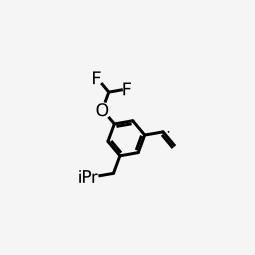 C=[C]c1cc(CC(C)C)cc(OC(F)F)c1